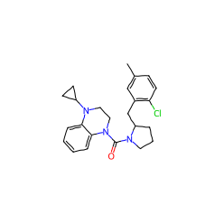 Cc1ccc(Cl)c(CC2CCCN2C(=O)N2CCN(C3CC3)c3ccccc32)c1